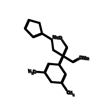 COCC(CCC1CCCC1)(COC)C1CC(C)CC(C)C1